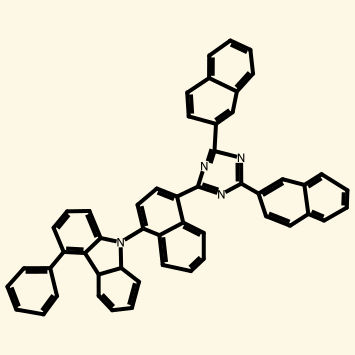 C1=CC2c3c(-c4ccccc4)cccc3N(c3ccc(-c4nc(-c5ccc6ccccc6c5)nc(-c5ccc6ccccc6c5)n4)c4ccccc34)C2C=C1